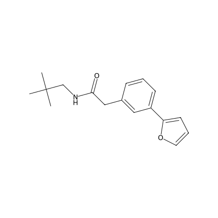 CC(C)(C)CNC(=O)Cc1cccc(-c2ccco2)c1